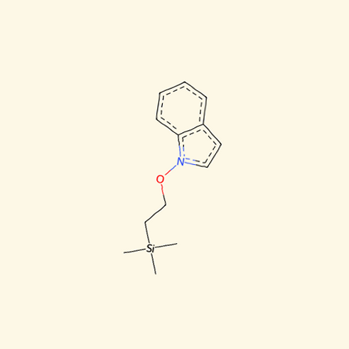 C[Si](C)(C)CCOn1ccc2ccccc21